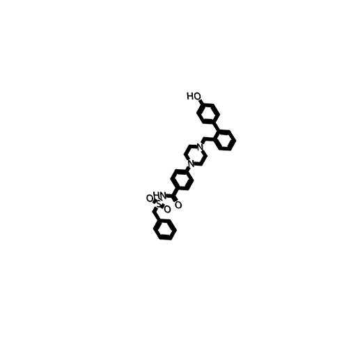 O=C(NS(=O)(=O)Cc1ccccc1)c1ccc(N2CCN(Cc3ccccc3-c3ccc(O)cc3)CC2)cc1